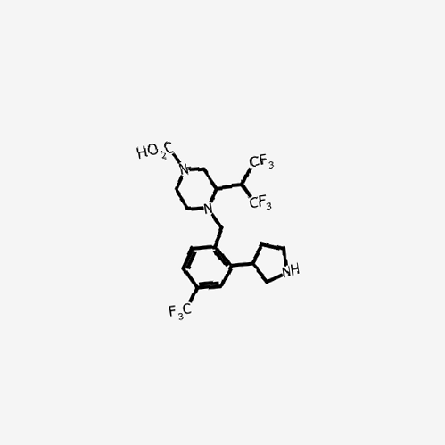 O=C(O)N1CCN(Cc2ccc(C(F)(F)F)cc2C2CCNC2)C(C(C(F)(F)F)C(F)(F)F)C1